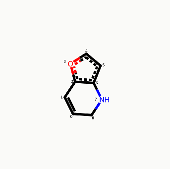 C1=Cc2occc2NC1